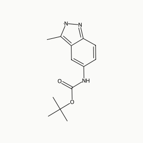 CC1=c2cc(NC(=O)OC(C)(C)C)ccc2=N[N]1